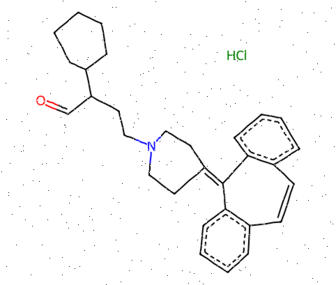 Cl.O=CC(CCN1CCC(=C2c3ccccc3C=Cc3ccccc32)CC1)C1CCCCC1